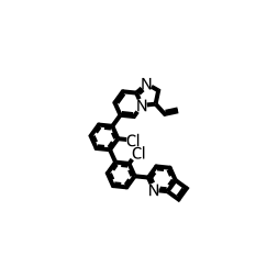 C=CC1CN=C2C=CC(c3cccc(-c4cccc(-c5ccc6c(n5)C=C6)c4Cl)c3Cl)=CN21